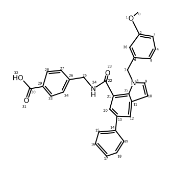 COc1cccc(Cn2ccc3cc(-c4ccccc4)cc(C(=O)NCc4ccc(C(=O)O)cc4)c32)c1